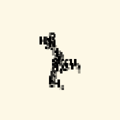 CN1CCN(c2ccc(C3SC(CC(=O)N4CCC(N5Cc6ccccc6NC5=O)CC4)C(=O)N3CCC(C)(C)C)cc2)CC1